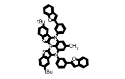 Cc1cc2c3c(c1)N(c1cccc(-c4cc5ccccc5o4)c1)c1c(sc4ccc(C(C)(C)C)cc14)B3c1sc3ccc(C(C)(C)C)cc3c1N2c1cccc(-c2cc3ccccc3o2)c1